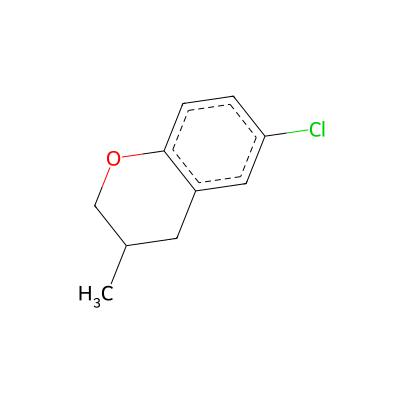 CC1COc2ccc(Cl)cc2C1